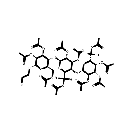 [2H]C([2H])(OC(C)=O)[C@H]1O[C@@H](O[C@@H]2[C@H](OC(C)=O)[C@@H](OC(C)=O)[C@H](O[C@H]3[C@H](OC(C)=O)[C@@H](OC(C)=O)[C@@H](OCCBr)O[C@@H]3COC(C)=O)O[C@@H]2C([2H])([2H])OC(C)=O)[C@H](OC(C)=O)[C@@H](OC(C)=O)[C@H]1OC(C)=O